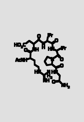 CC(=O)NC(CCCNC(=N)N)C(=O)NC(CC(=O)O)C(=O)NC(C(=O)NC(C(=O)N1CCCC1C(=O)NCC(N)=O)C(C)C)C(C)C